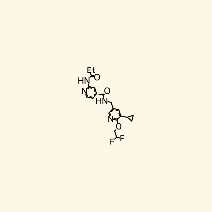 CCC(=O)Nc1cc(C(=O)NCc2cnc(OCC(F)F)c(C3CC3)c2)ccn1